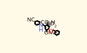 COc1cc(C(Nc2ccc(C#N)cc2)C(=O)O)c([N+](=O)[O-])cc1OCc1ccccc1